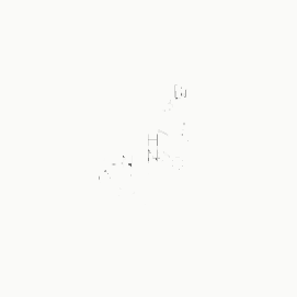 CC1C2OC=NC12CNC(=O)c1ccc(Br)cc1